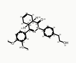 COc1ccc(C2=NN(c3ccc(CCO)cc3)C(=O)[C@H]3CC=CC[C@@H]23)cc1OC